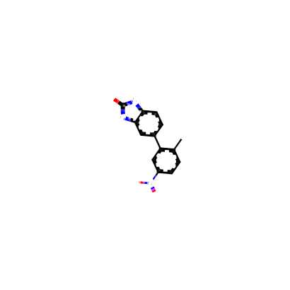 Cc1ccc([N+](=O)[O-])cc1-c1ccc2[nH]c(=O)[nH]c2c1